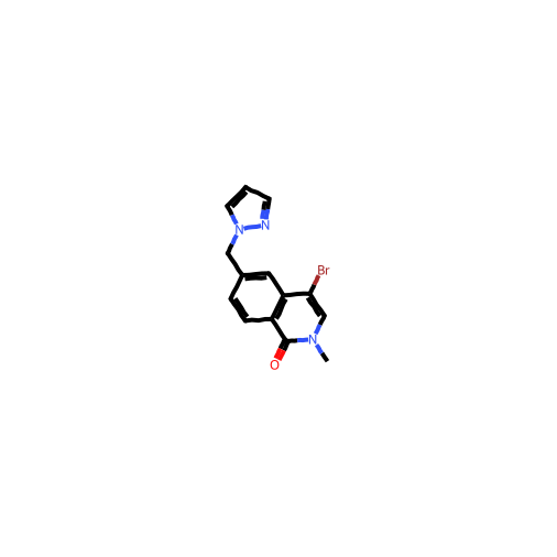 Cn1cc(Br)c2cc(Cn3cccn3)ccc2c1=O